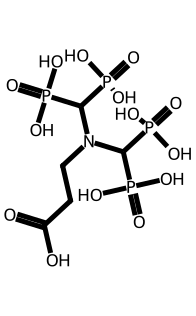 O=C(O)CCN(C(P(=O)(O)O)P(=O)(O)O)C(P(=O)(O)O)P(=O)(O)O